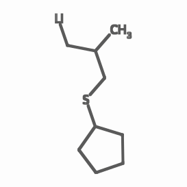 [Li][CH2]C(C)CSC1CCCC1